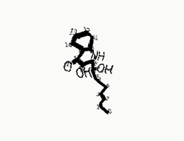 CCCCCCC(O)c1[nH]c2ccccc2c(=O)c1O